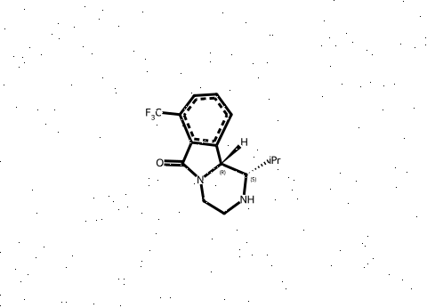 CC(C)[C@@H]1NCCN2C(=O)c3c(cccc3C(F)(F)F)[C@H]12